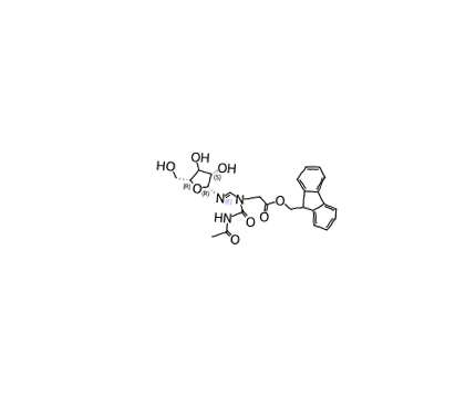 CC(=O)NC(=O)N(/C=N/[C@@H]1O[C@H](CO)C(O)[C@@H]1O)CC(=O)OCC1c2ccccc2-c2ccccc21